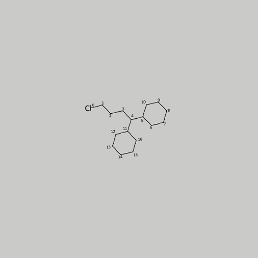 ClCCCC(C1CCCCC1)C1CCCCC1